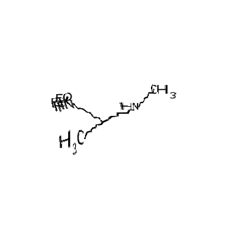 CCCCCCCCNCCCCCCCC(CCCCCCCC)CCCCCCCNC(=O)C(F)(F)F